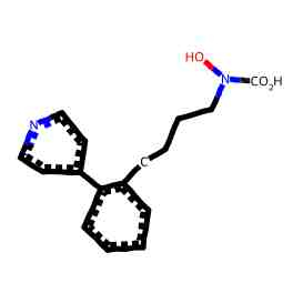 O=C(O)N(O)CCCCc1ccccc1-c1ccncc1